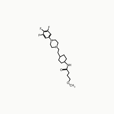 COCCCC(=O)NC1CCC(CCN2CCN(c3cc(F)c(F)c(F)c3)CC2)CC1